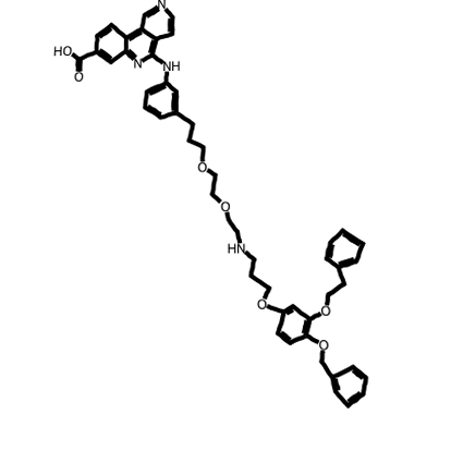 O=C(O)c1ccc2c(c1)nc(Nc1cccc(CCCOCCOCCNCCCOc3ccc(OCc4ccccc4)c(OCCc4ccccc4)c3)c1)c1ccncc12